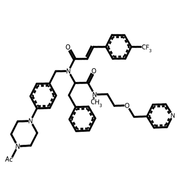 CC(=O)N1CCN(c2ccc(CN(C(=O)C=Cc3ccc(C(F)(F)F)cc3)C(Cc3ccccc3)C(=O)N(C)CCOCc3ccncc3)cc2)CC1